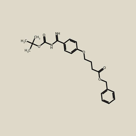 CC(C)(C)OC(=O)NC(=N)c1ccc(OCCCC(=O)OCc2ccccc2)cc1